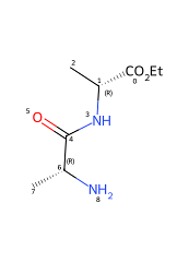 CCOC(=O)[C@@H](C)NC(=O)[C@@H](C)N